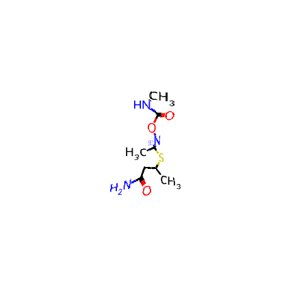 CNC(=O)O/N=C(\C)SC(C)CC(N)=O